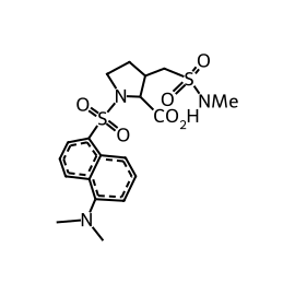 CNS(=O)(=O)CC1CCN(S(=O)(=O)c2cccc3c(N(C)C)cccc23)C1C(=O)O